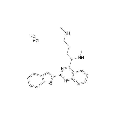 CNCCCC(NC)c1nc(-c2cc3ccccc3o2)nc2ccccc12.Cl.Cl